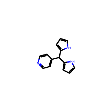 c1c[nH]c(C(c2ccncc2)c2ccc[nH]2)c1